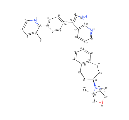 Cc1cccnc1-c1ccc(-c2c[nH]c3ncc(-c4ccc5c(c4)CC[C@@H](N4CC6C[C@H]4CO6)CC5)cc23)cc1